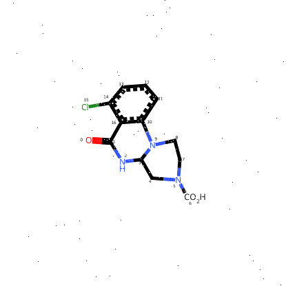 O=C1NC2CN(C(=O)O)CCN2c2cccc(Cl)c21